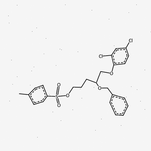 Cc1ccc(S(=O)(=O)OCCCC(COc2ccc(Cl)cc2Cl)OCc2ccccc2)cc1